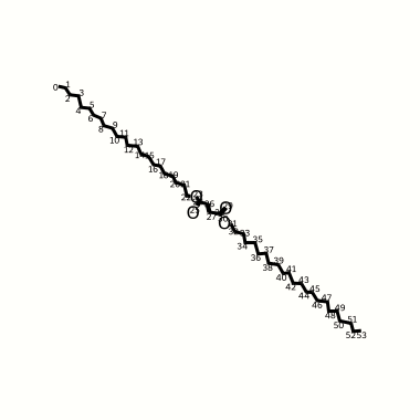 CCCCCCCCCCCCCCCCCCCCCCCOC(=O)C=CC(=O)OCCCCCCCCCCCCCCCCCCCCCCC